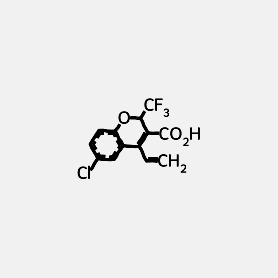 C=CC1=C(C(=O)O)C(C(F)(F)F)Oc2ccc(Cl)cc21